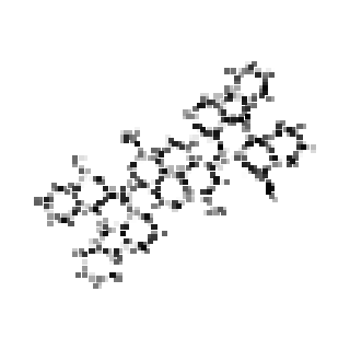 CC(C)c1cc(N(c2cc(F)c3ccccc3c2)c2cccc3c2oc2ccccc23)c2ccc3c(C(C)C)cc(N(c4cc(F)c5ccccc5c4)c4cccc5c4oc4ccccc45)c4ccc1c2c34